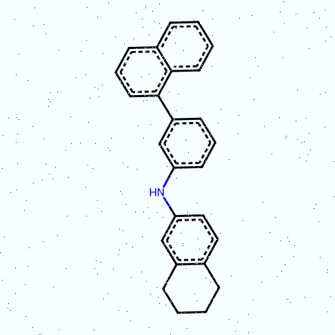 c1cc(Nc2ccc3c(c2)CCCC3)cc(-c2cccc3ccccc23)c1